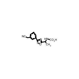 CC(NC(=O)O)c1nc(-c2cccc(CC#N)c2)no1